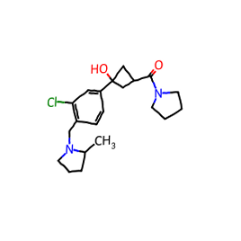 CC1CCCN1Cc1ccc(C2(O)CC(C(=O)N3CCCC3)C2)cc1Cl